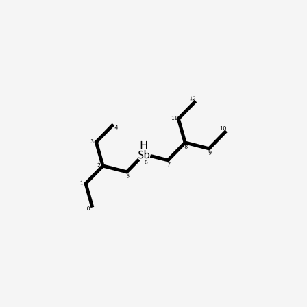 CCC(CC)[CH2][SbH][CH2]C(CC)CC